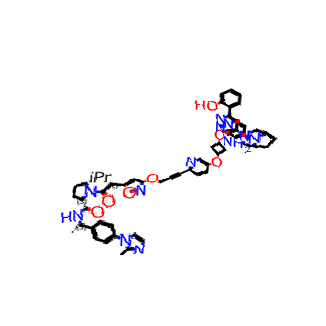 Cc1nccn1-c1ccc([C@H](C)NC(=O)[C@@H]2CCCN2C(=O)[C@@H](c2cc(OCC#Cc3ccc(O[C@H]4C[C@H](Oc5cc(N6C7CCC6CN(c6cc(-c8ccccc8O)nnc6N)C7)ccn5)C4)cn3)no2)C(C)C)cc1